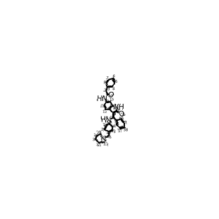 O=C(Cc1ccccc1)Nc1ccc2c(c1)NC(=O)/C2=C(/Nc1ccc(CN2CCCCC2)cc1)c1ccccc1